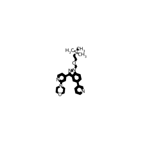 C[Si](C)(C)CCOCn1nc(-c2ccnc(N3CCOCC3)c2)c2cc(-c3cccnc3)ccc21